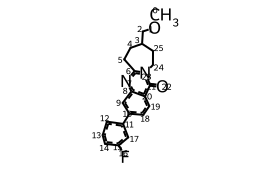 COCC1CCc2nc3cc(-c4cccc(F)c4)ccc3c(=O)n2CC1